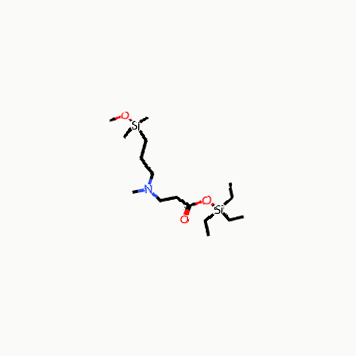 CC[Si](CC)(CC)OC(=O)CCN(C)CCC[Si](C)(C)OC